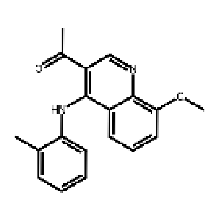 COc1cccc2c(Nc3ccccc3C)c(C(C)=O)cnc12